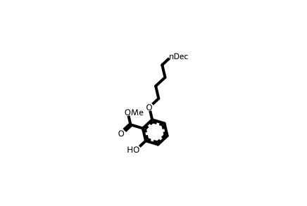 CCCCCCCCCCCCCCOc1cccc(O)c1C(=O)OC